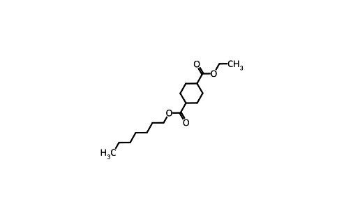 CCCCCCCOC(=O)C1CCC(C(=O)OCC)CC1